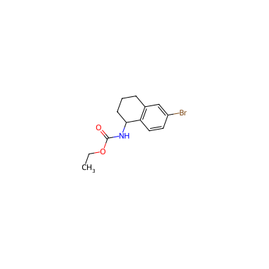 CCOC(=O)NC1CCCc2cc(Br)ccc21